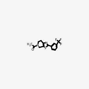 CC(=O)N1CCc2nc(-c3cccc(C(F)(F)F)c3)sc2C1